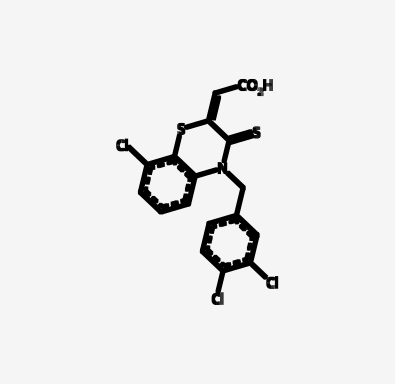 O=C(O)C=C1Sc2c(Cl)cccc2N(Cc2ccc(Cl)c(Cl)c2)C1=S